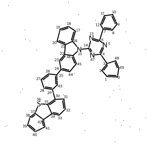 c1ccc(-c2nc(-c3ccccc3)nc(-n3c4ccccc4c4cc(-c5cccc(-c6cccc7c6sc6ccccc67)c5)ccc43)n2)cc1